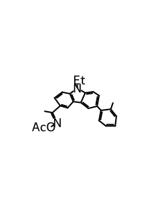 CCn1c2ccc(C(C)=NOC(C)=O)cc2c2cc(-c3ccccc3C)ccc21